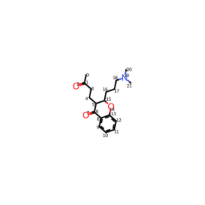 CC(=O)CCC1C(=O)c2ccccc2OC1CCCN(C)C